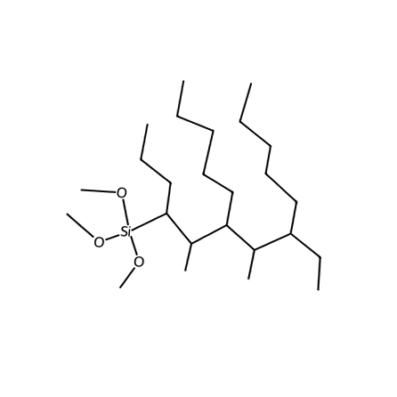 CCCCCC(CC)C(C)C(CCCCC)C(C)C(CCC)[Si](OC)(OC)OC